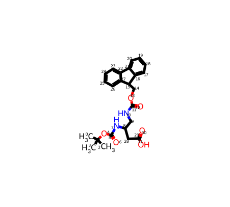 CC(C)(C)OC(=O)NC(CNC(=O)OCC1c2ccccc2-c2ccccc21)CC(=O)O